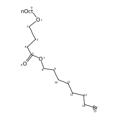 CCCCCCCCOCCCC(=O)OCCCCCCCBr